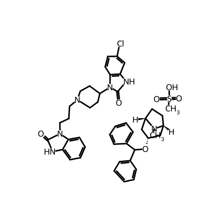 CN1[C@@H]2CC[C@H]1C[C@@H](OC(c1ccccc1)c1ccccc1)C2.CS(=O)(=O)O.O=c1[nH]c2ccccc2n1CCCN1CCC(n2c(=O)[nH]c3cc(Cl)ccc32)CC1